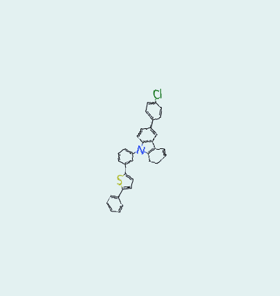 Clc1ccc(-c2ccc3c(c2)c2c(n3-c3cccc(-c4ccc(-c5ccccc5)s4)c3)CCC=C2)cc1